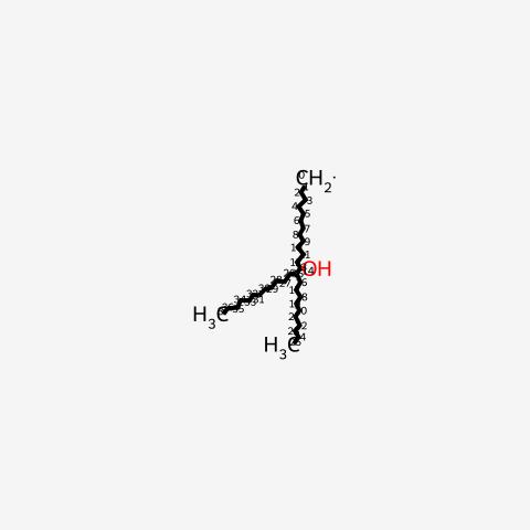 [CH2]CCCCCCCCCCCCC(O)C(CCCCCCCCCC)CCCCCCCCCCCC